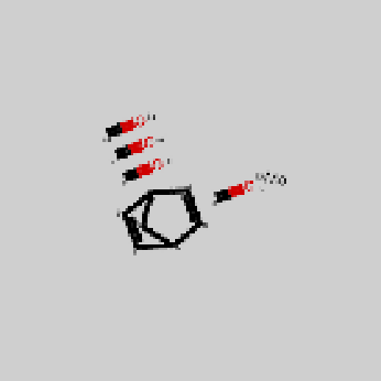 C1=CC2C=CC1C2.C=O.C=O.C=O.C=O.[Mo]